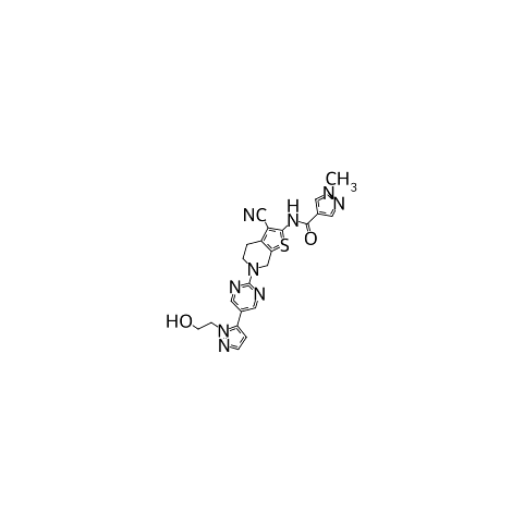 Cn1cc(C(=O)Nc2sc3c(c2C#N)CCN(c2ncc(-c4ccnn4CCO)cn2)C3)cn1